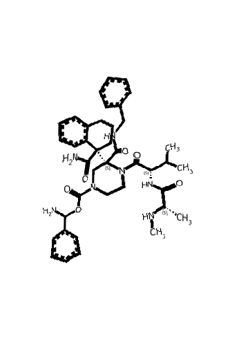 CN[C@@H](C)C(=O)N[C@H](C(=O)N1CCN(C(=O)OC(N)c2ccccc2)C[C@]1(C(=O)NCc1ccccc1)C1(C(N)=O)CCCc2ccccc21)C(C)C